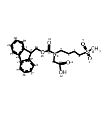 CS(=O)(=O)CCCCN(CC(=O)O)C(=O)OCC1c2ccccc2-c2ccccc21